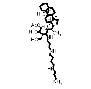 CC(=O)OCC(C)[C@H](CO)C(C[C@@H](C)[C@H]1CC[C@H]2[C@@H]3CCC4CCCC[C@]4(C)[C@H]3CC[C@]12C)NCCCNCCCCNCCCN